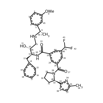 COc1cccc([C@H](C)NC[C@@H](O)[C@H](Cc2ccccc2)NC(=O)c2cc(C(=O)N3CCC[C@@H]3c3nc(C)cs3)cc(C(F)F)c2)c1